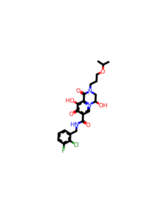 CC(C)OCCCN1CC(O)n2cc(C(=O)NCc3cccc(F)c3Cl)c(=O)c(O)c2C1=O